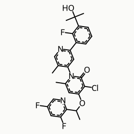 Cc1cnc(-c2cccc(C(C)(C)O)c2F)cc1-n1c(C)cc(OC(C)c2ncc(F)cc2F)c(Cl)c1=O